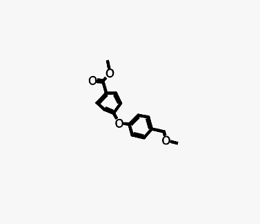 COCc1ccc(Oc2ccc(C(=O)OC)cc2)cc1